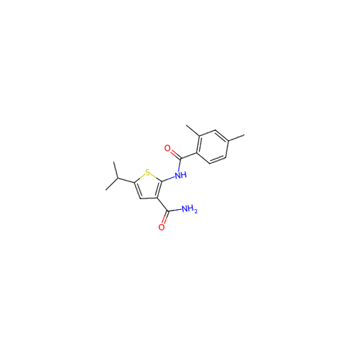 Cc1ccc(C(=O)Nc2sc(C(C)C)cc2C(N)=O)c(C)c1